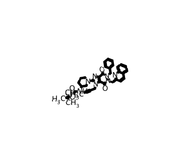 CC#CCn1c(N2CCCC(NC(=O)OC(C)(C)C)C2)nc2c(=O)n(Cc3ccccc3)n(Cc3ccc4ccccc4n3)c(=O)c21